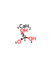 O=[Si](O)O.[CaH2]